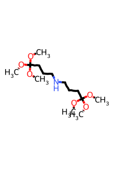 COC(CCCNCCCC(OC)(OC)OC)(OC)OC